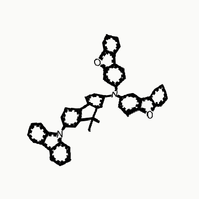 CC1(C)c2cc(N(c3ccc4c(c3)oc3ccccc34)c3ccc4oc5ccccc5c4c3)ccc2-c2ccc(-n3c4ccccc4c4ccccc43)cc21